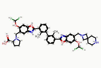 Cc1c(-c2nc3cc(CN4CC5(CCNCC5)C4)c(OC(F)F)cc3o2)cccc1-c1cccc(-c2nc3cc(CN4CCC[C@H]4C(=O)O)c(OC(F)F)cc3o2)c1C